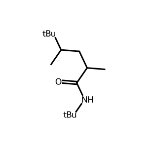 CC(CC(C)C(C)(C)C)C(=O)NC(C)(C)C